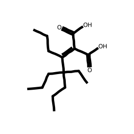 CCCC(=C(C(=O)O)C(=O)O)C(CC)(CCC)CCC